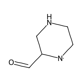 O=CC1CNCC[N]1